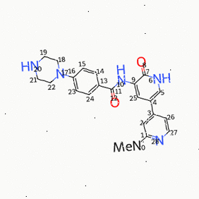 CNc1cc(-c2c[nH]c(=O)c(NC(=O)c3ccc(N4CCNCC4)cc3)c2)ccn1